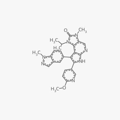 COc1ccc(-c2[nH]c3ncc4c(c3c2-c2ccc3c(cnn3C)c2)n(C(C)C)c(=O)n4C)cn1